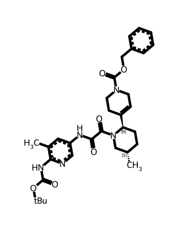 Cc1cc(NC(=O)C(=O)N2C[C@@H](C)CC[C@@H]2C2=CCN(C(=O)OCc3ccccc3)CC2)cnc1NC(=O)OC(C)(C)C